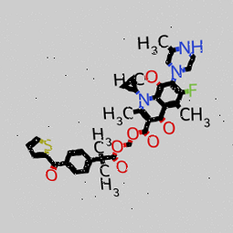 COc1c(N2CCNC(C)C2)c(F)c(C)c2c(=O)c(C(=O)OCOC(=O)C(C)(C)c3ccc(C(=O)c4cccs4)cc3)c(C)n(C3CC3)c12